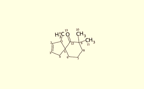 CC1C=CCC12CCCC(C)(C)C2=O